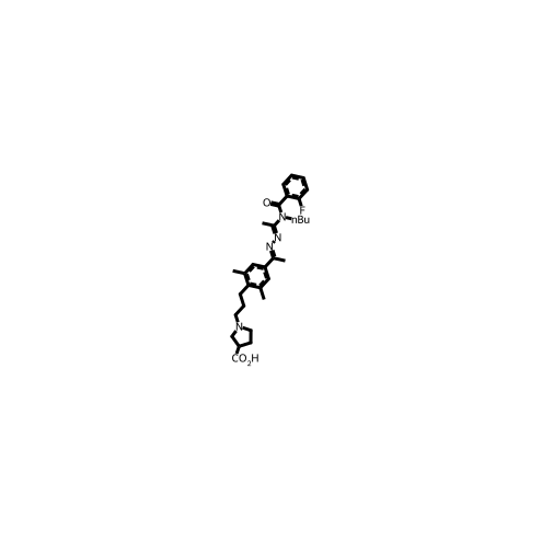 CCCCN(C(=O)c1ccccc1F)/C(C)=N/N=C(\C)c1cc(C)c(CCCN2CCC(C(=O)O)C2)c(C)c1